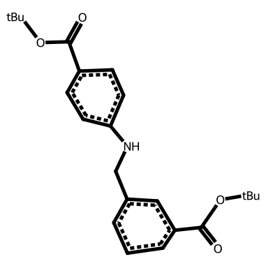 CC(C)(C)OC(=O)c1ccc(NCc2cccc(C(=O)OC(C)(C)C)c2)cc1